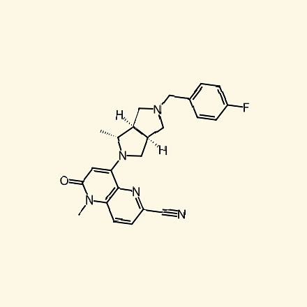 C[C@@H]1[C@H]2CN(Cc3ccc(F)cc3)C[C@H]2CN1c1cc(=O)n(C)c2ccc(C#N)nc12